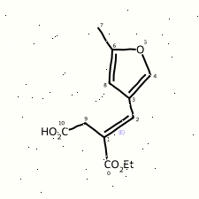 CCOC(=O)/C(=C/c1coc(C)c1)CC(=O)O